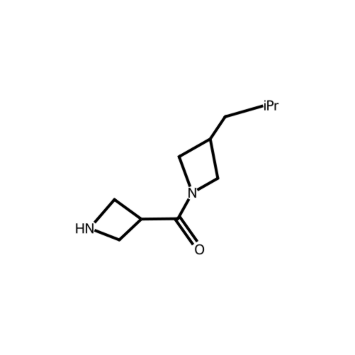 CC(C)CC1CN(C(=O)C2CNC2)C1